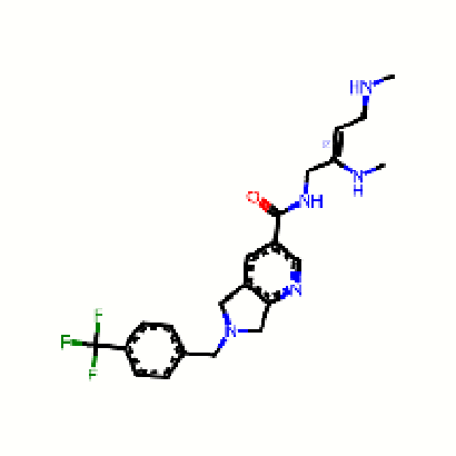 CNC/C=C(/CNC(=O)c1cnc2c(c1)CN(Cc1ccc(C(F)(F)F)cc1)C2)NC